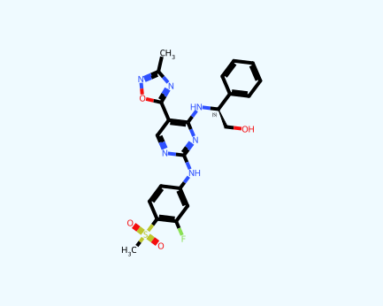 Cc1noc(-c2cnc(Nc3ccc(S(C)(=O)=O)c(F)c3)nc2N[C@H](CO)c2ccccc2)n1